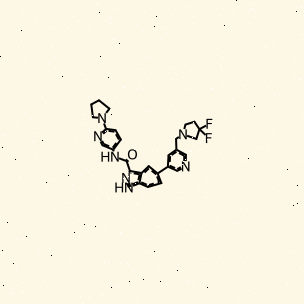 O=C(Nc1ccc(N2CCCC2)nc1)c1n[nH]c2ccc(-c3cncc(CN4CCC(F)(F)C4)c3)cc12